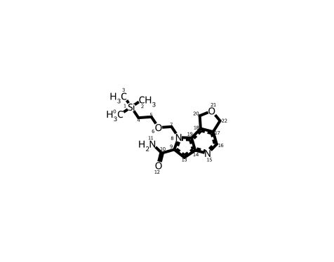 C[Si](C)(C)CCOCn1c(C(N)=O)cc2ncc3c(c21)COC3